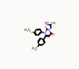 CSc1ccc(-n2c(-c3ccc(C)cc3)cc(=O)n(CC(C)=NO)c2=O)cc1